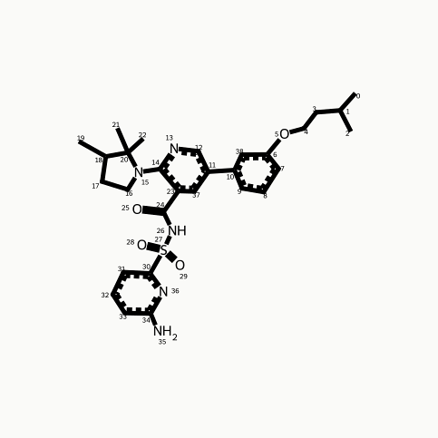 CC(C)CCOc1cccc(-c2cnc(N3CCC(C)C3(C)C)c(C(=O)NS(=O)(=O)c3cccc(N)n3)c2)c1